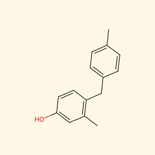 Cc1ccc(Cc2ccc(O)cc2C)cc1